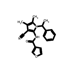 Cc1c(C#N)c(NC(=O)c2ccoc2)n(C(C)c2ccccc2)c1C